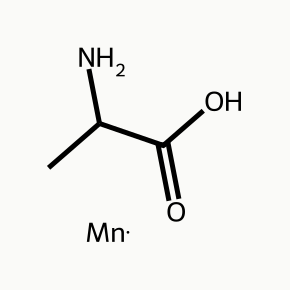 CC(N)C(=O)O.[Mn]